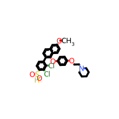 COc1ccc2c(Oc3ccc(OCCN4CCCCC4)cc3)c(-c3ccc([SH](=O)=O)c(Cl)c3Cl)ccc2c1